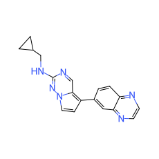 c1cnc2cc(-c3ccn4nc(NCC5CC5)ncc34)ccc2n1